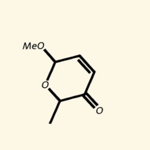 COC1C=CC(=O)C(C)O1